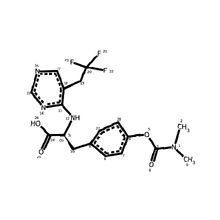 CN(C)C(=O)Oc1ccc(C[C@H](Nc2ncncc2CC(F)(F)F)C(=O)O)cc1